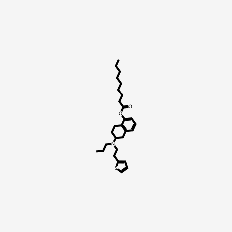 CCCCCCCCC(=O)Oc1cccc2c1CCC(N(CCC)CCc1cccs1)C2